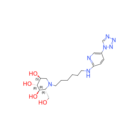 OC[C@@H]1[C@@H](O)[C@H](O)[C@@H](O)CN1CCCCCCNc1ccc(-n2cnnn2)cn1